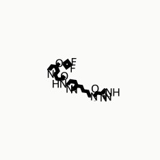 CN(CCCCc1ccc(NC(=O)Cc2cc(OC3CC(F)(F)C3)ccn2)nn1)C(=O)c1c[nH]nn1